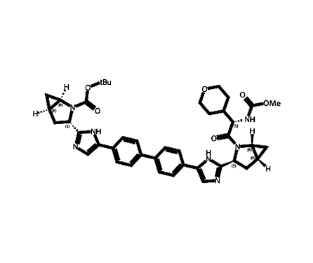 COC(=O)N[C@H](C(=O)N1[C@@H]2C[C@@H]2C[C@H]1c1ncc(-c2ccc(-c3ccc(-c4cnc([C@@H]5C[C@H]6C[C@H]6N5C(=O)OC(C)(C)C)[nH]4)cc3)cc2)[nH]1)C1CCOCC1